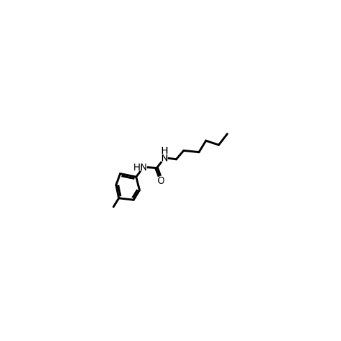 CCCCCCNC(=O)Nc1ccc(C)cc1